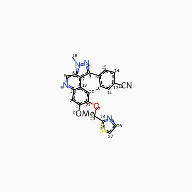 COc1cc2ncc3c(c(-c4ccc(C#N)cc4)nn3C)c2cc1OCc1nccs1